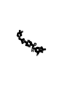 Cc1cn2cc(NC(=O)c3cnc(N4CC(CN5CCC(C)(F)C5)C4)cn3)cc(F)c2n1